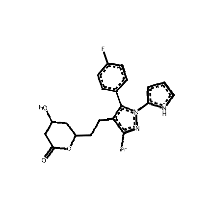 CC(C)c1nn(-c2ccc[nH]2)c(-c2ccc(F)cc2)c1CCC1CC(O)CC(=O)O1